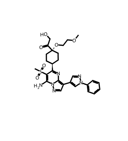 COCCO[C@]1(C(=O)CO)CC[C@@H](c2nc3c(-c4cnn(-c5ccccc5)c4)cnn3c(N)c2S(C)(=O)=O)CC1